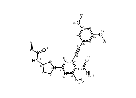 C=CC(=O)NC1CCN(c2nc(N)c(C(N)=O)c(C#Cc3cc(OC)cc(OC)c3)n2)C1